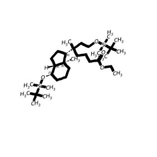 CCOC(=O)CCCC(C)(CCO[Si](C)(C)C(C)(C)C)[C@H]1CC[C@H]2[C@@H](O[Si](C)(C)C(C)(C)C)CCC[C@]12C